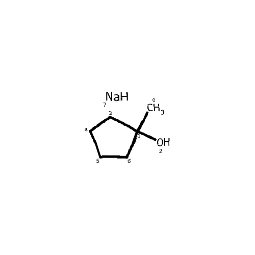 CC1(O)CCCC1.[NaH]